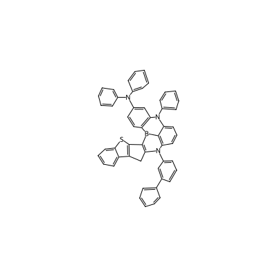 c1ccc(-c2cccc(N3C4=C(B5c6ccc(N(c7ccccc7)c7ccccc7)cc6N(c6ccccc6)c6cccc3c65)c3sc5ccccc5c3C4)c2)cc1